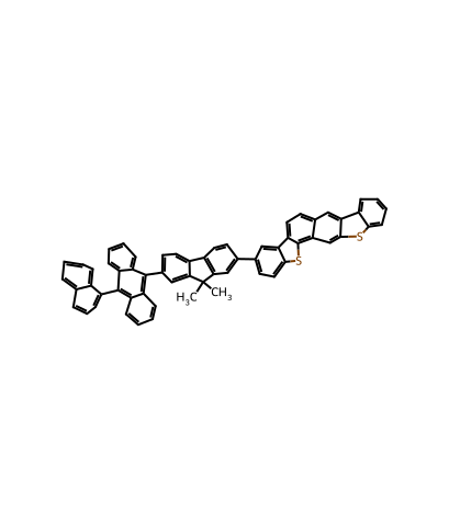 CC1(C)c2cc(-c3ccc4sc5c6cc7sc8ccccc8c7cc6ccc5c4c3)ccc2-c2ccc(-c3c4ccccc4c(-c4cccc5ccccc45)c4ccccc34)cc21